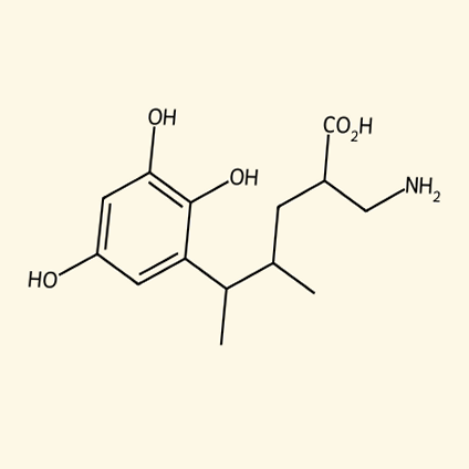 CC(CC(CN)C(=O)O)C(C)c1cc(O)cc(O)c1O